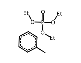 CCOP(=O)(OCC)OCC.Cc1ccccc1